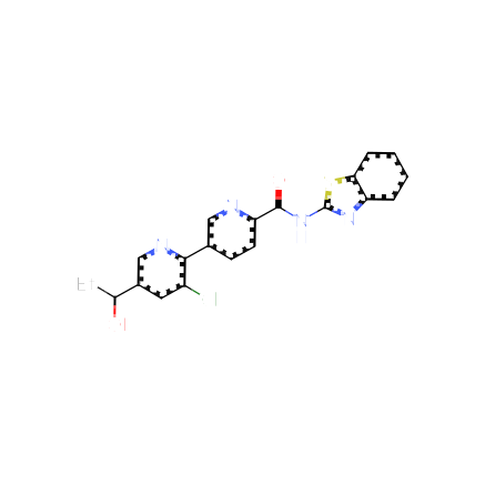 CCC(O)c1cnc(-c2ccc(C(=O)Nc3nc4ccccc4s3)nc2)c(Cl)c1